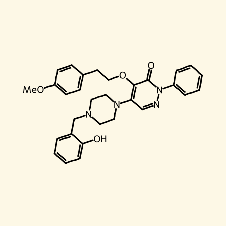 COc1ccc(CCOc2c(N3CCN(Cc4ccccc4O)CC3)cnn(-c3ccccc3)c2=O)cc1